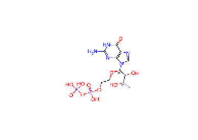 C[C@H](O)C(O)[C@@H](OCCOP(=O)(O)OP(=O)(O)O)n1cnc2c(=O)[nH]c(N)nc21